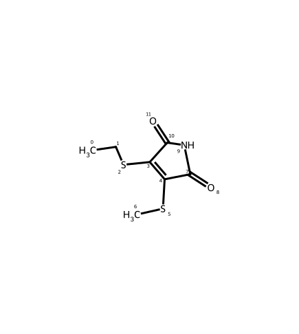 CCSC1=C(SC)C(=O)NC1=O